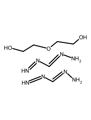 N=NC=NN.N=NC=NN.OCCOCCO